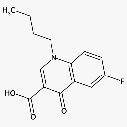 CCCCn1cc(C(=O)O)c(=O)c2cc(F)ccc21